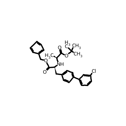 C[C@H](N[C@@H](Cc1ccc(-c2cccc(Cl)c2)cc1)C(=O)OCc1ccccc1)C(=O)OC(C)(C)C